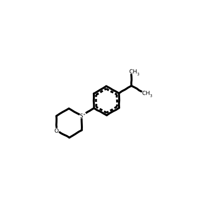 CC(C)c1ccc([S+]2CCOCC2)cc1